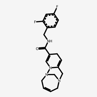 O=C(NCc1ccc(F)cc1F)C1=CN2C(=CC1)CN1CC=CCN2C1